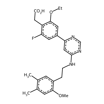 CCOc1cc(-c2cc(NCCc3cc(C)c(C)cc3OC)ncn2)cc(F)c1CC(=O)O